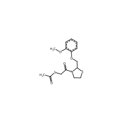 COc1ccccc1OCC1SCCN1C(=O)CSC(C)=O